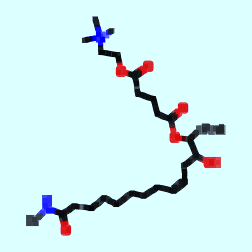 CCCCCC(OC(=O)CCCC(=O)OCC[N+](C)(C)C)C(O)C/C=C\CCCCCCCC(=O)NCC